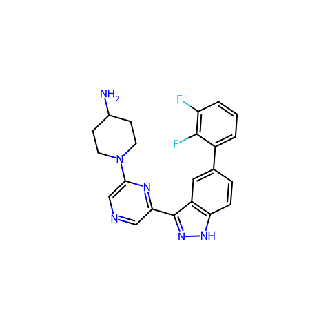 NC1CCN(c2cncc(-c3n[nH]c4ccc(-c5cccc(F)c5F)cc34)n2)CC1